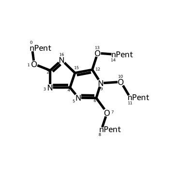 CCCCCOc1nc2nc(OCCCCC)n(OCCCCC)c(OCCCCC)c-2n1